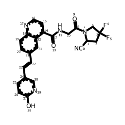 N#CC1CC(F)(F)CN1C(=O)CNC(=O)c1ccnc2ccc(C=Cc3ccc(O)nc3)cc12